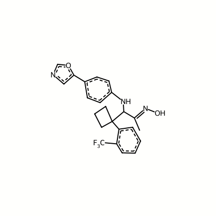 CC(=NO)C(Nc1ccc(-c2cnco2)cc1)C1(c2ccccc2C(F)(F)F)CCC1